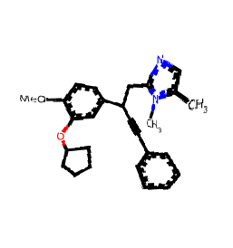 COc1ccc(C(C#Cc2ccccc2)Cc2ncc(C)n2C)cc1OC1CCCC1